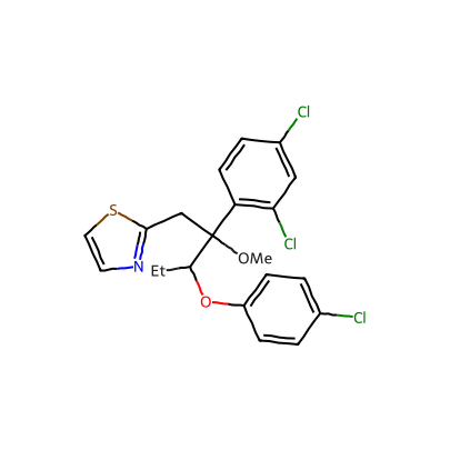 CCC(Oc1ccc(Cl)cc1)C(Cc1nccs1)(OC)c1ccc(Cl)cc1Cl